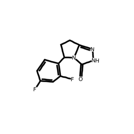 O=c1[nH]nc2n1C(c1ccc(F)cc1F)CC2